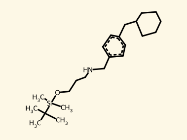 CC(C)(C)[Si](C)(C)OCCCNCc1ccc(CC2CCCCC2)cc1